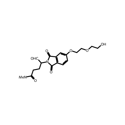 CNC(=O)CCC(C=O)N1C(=O)c2ccc(OCCOCCO)cc2C1=O